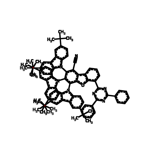 CC(C)(C)c1ccc2c(c1)c1cc(C(C)(C)C)ccc1n2-c1c(-n2c3ccc(C(C)(C)C)cc3c3cc(C(C)(C)C)ccc32)c(C#N)c2c(oc3c(-c4nc(-c5ccccc5)nc(-c5ccccc5)n4)cccc32)c1-n1c2ccc(C(C)(C)C)cc2c2cc(C(C)(C)C)ccc21